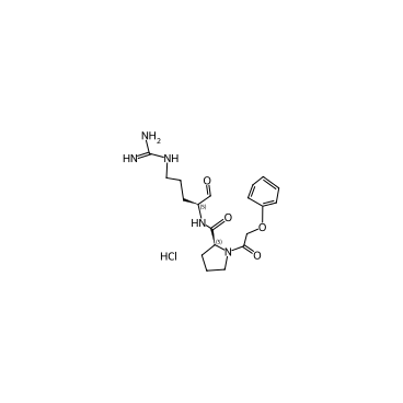 Cl.N=C(N)NCCC[C@@H](C=O)NC(=O)[C@@H]1CCCN1C(=O)COc1ccccc1